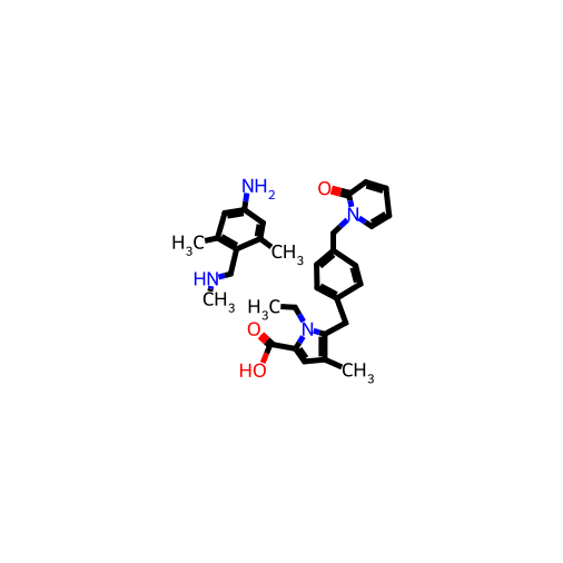 CCn1c(C(=O)O)cc(C)c1Cc1ccc(Cn2ccccc2=O)cc1.CNCc1c(C)cc(N)cc1C